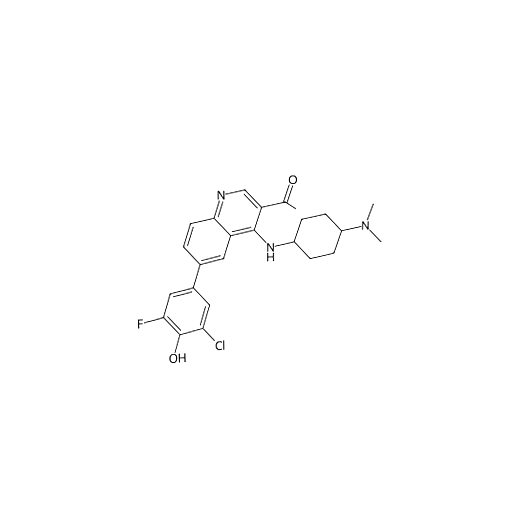 CC(=O)c1cnc2ccc(-c3cc(F)c(O)c(Cl)c3)cc2c1NC1CCC(N(C)C)CC1